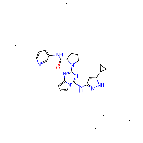 O=C(Nc1cccnc1)[C@@H]1CCCN1c1nc(Nc2cc(C3CC3)[nH]n2)n2cccc2n1